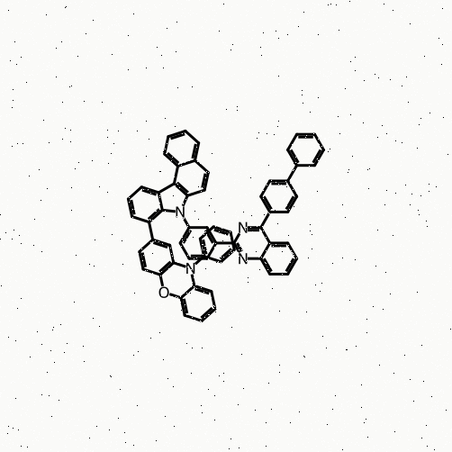 c1ccc(-c2ccc(-c3nc(-c4cccc(-n5c6ccc7ccccc7c6c6cccc(-c7ccc8c(c7)N(c7ccccc7)c7ccccc7O8)c65)c4)nc4ccccc34)cc2)cc1